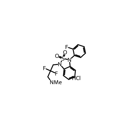 CNCC(F)(F)CN1c2ccccc2N(c2ccccc2F)S1(=O)=O.Cl